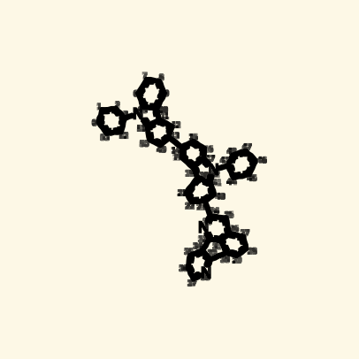 c1ccc(-n2c3ccccc3c3cc(-c4ccc5c(c4)c4ccc(-c6cc7cccc8c7c(n6)-c6cccnc6-8)cc4n5-c4ccccc4)ccc32)cc1